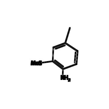 CSc1cc(C)ccc1N